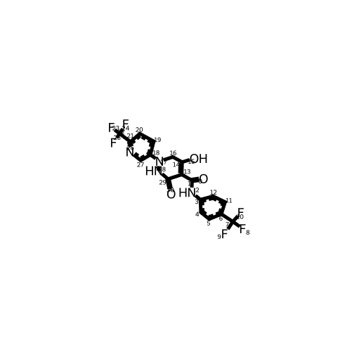 O=C(Nc1ccc(C(F)(F)F)cc1)C1=C(O)CN(c2ccc(C(F)(F)F)nc2)NC1=O